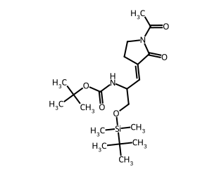 CC(=O)N1CCC(=CC(CO[Si](C)(C)C(C)(C)C)NC(=O)OC(C)(C)C)C1=O